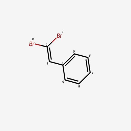 BrC(Br)=Cc1cc[c]cc1